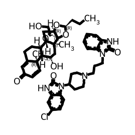 CCC[C@@H]1O[C@@H]2C[C@H]3[C@@H]4CCC5=CC(=O)C=C[C@]5(C)[C@H]4[C@@H](O)C[C@]3(C)[C@]2(C(=O)CO)O1.O=c1[nH]c2ccccc2n1CCCN1CCC(n2c(=O)[nH]c3cc(Cl)ccc32)CC1